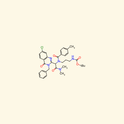 Cc1ccc(C(=O)N(CCCNC(=O)OC(C)(C)C)C(C(=O)N(C)C)c2nc3cc(Cl)ccc3c(=O)n2Cc2ccccc2)cc1